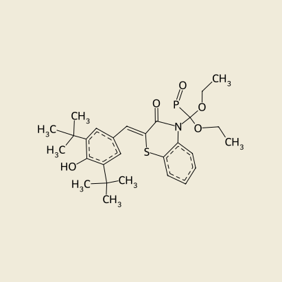 CCOC(OCC)(P=O)N1C(=O)C(=Cc2cc(C(C)(C)C)c(O)c(C(C)(C)C)c2)Sc2ccccc21